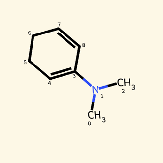 CN(C)C1=CCCC=C1